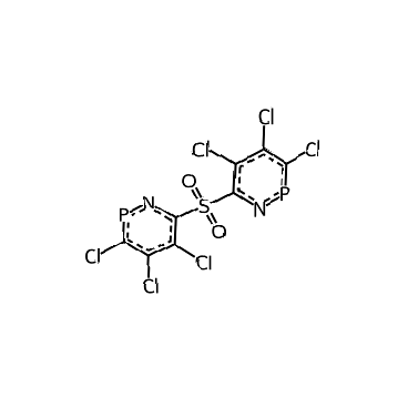 O=S(=O)(c1npc(Cl)c(Cl)c1Cl)c1npc(Cl)c(Cl)c1Cl